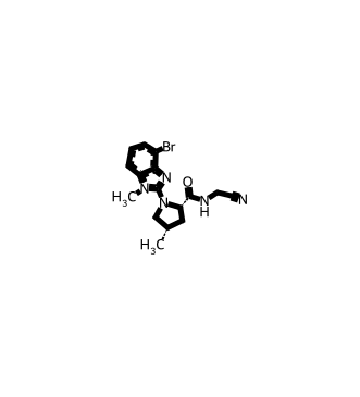 C[C@H]1C[C@@H](C(=O)NCC#N)N(c2nc3c(Br)cccc3n2C)C1